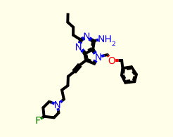 CCCCc1nc(N)c2c(n1)c(C#CCCCCN1CCC(F)CC1)cn2COCc1ccccc1